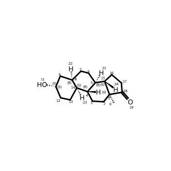 C[C@]12CC[C@H]3[C@@H](CC[C@@H]4C[C@@H](O)CC[C@@H]43)[C@@H]1CCC2=O